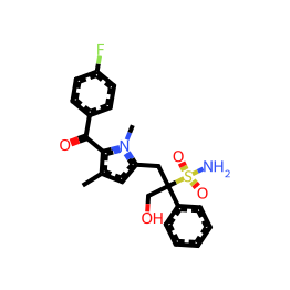 Cc1cc(CC(CO)(c2ccccc2)S(N)(=O)=O)n(C)c1C(=O)c1ccc(F)cc1